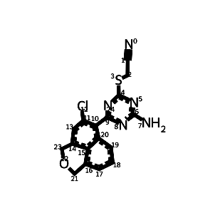 N#CCSc1nc(N)nc(-c2c(Cl)cc3c4c(cccc24)COC3)n1